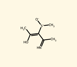 CC(=N)/C(=C(/C)O)[S+](C)[O-]